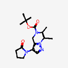 CC1C(C)n2ncc(N3CCCC3=O)c2CN1C(=O)OC(C)(C)C